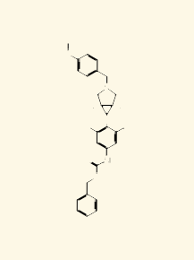 COc1ccc(CN2C[C@@H]3[C@H](C2)[C@H]3c2c(F)cc(NC(=O)OCc3ccccc3)cc2F)cc1